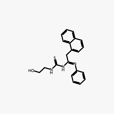 OCCNC(=S)NC(Cc1cccc2ccccc12)=Nc1ccccc1